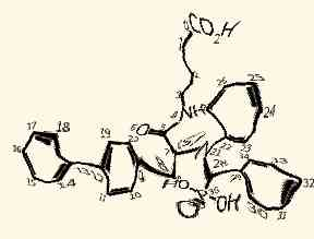 O=C(O)CCCNC(=O)[C@H](Cc1ccc(-c2ccccc2)cc1)N(c1ccccc1)C(c1ccccc1)P(=O)(O)O